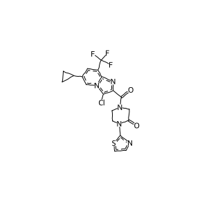 O=C(c1nc2c(C(F)(F)F)cc(C3CC3)cn2c1Cl)N1CCN(c2nccs2)C(=O)C1